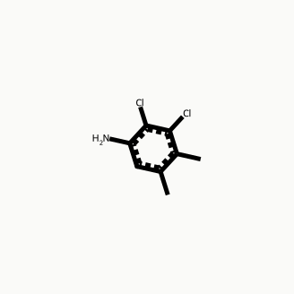 Cc1cc(N)c(Cl)c(Cl)c1C